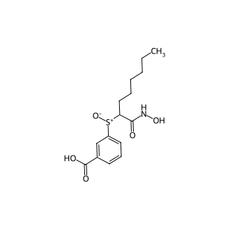 CCCCCCC(C(=O)NO)[S+]([O-])c1cccc(C(=O)O)c1